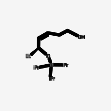 CC[C@@H](/C=C\CCO)O[Si](C(C)C)(C(C)C)C(C)C